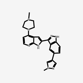 CN1CCN(c2ccnc3[nH]c(-c4n[nH]c5ccc(-c6cnn(C)c6)cc45)cc23)CC1